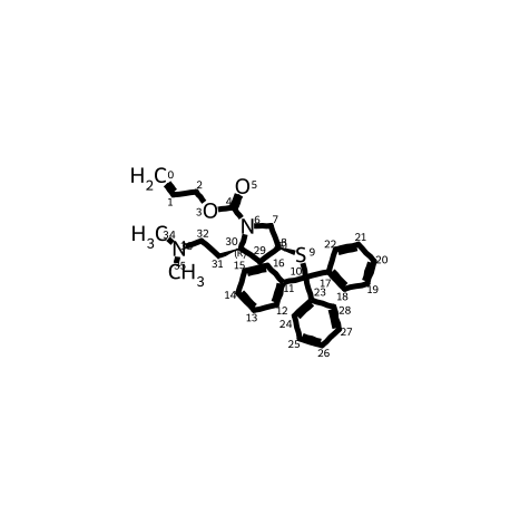 C=CCOC(=O)N1C[C@@H](SC(c2ccccc2)(c2ccccc2)c2ccccc2)C[C@H]1CCN(C)C